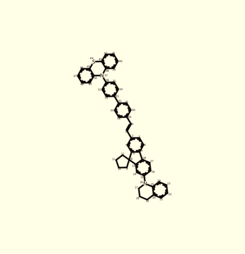 C(=C\c1ccc2c(c1)C1(CCCC1)c1cc(N3CCCc4ccccc43)ccc1-2)/c1ccc(-c2ccc(N3c4ccccc4Sc4ccccc43)cc2)cc1